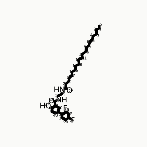 CCC=CCC=CCC=CCC=CCC=CCC=CCCC(=O)NCCNC(=O)c1cc(-c2ccc(F)cc2F)ccc1O